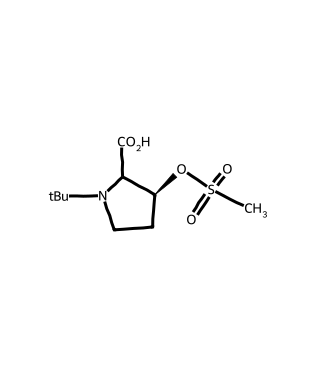 CC(C)(C)N1CC[C@H](OS(C)(=O)=O)C1C(=O)O